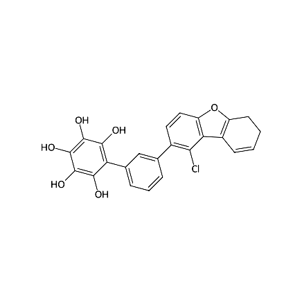 Oc1c(O)c(O)c(-c2cccc(-c3ccc4oc5c(c4c3Cl)C=CCC5)c2)c(O)c1O